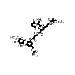 BC(=O)OCc1ccc(O[C@@H]2O[C@H](C(=O)O)[C@@H](O)[C@H](O)[C@H]2O)c(NC(=O)CCNC(=O)C(CCCCNC(=O)C(C)(C)COC(C)(C)C)NC(=O)C(CN)N2C(=O)C=CC2=O)c1